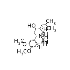 [2H]C1([2H])C(CC(C)C)C(O)CC2c3cc(OC)c(OC)cc3C([2H])([2H])C([2H])([2H])N21